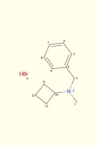 Br.CN(Cc1ccccc1)C1CCC1